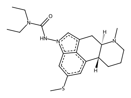 CCN(CC)C(=O)Nn1cc2c3c(cc(SC)cc31)[C@H]1CCCN(C)[C@@H]1C2